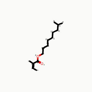 CC=C(C)C(=O)OCCCCCCCC(C)C